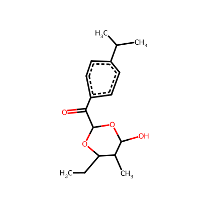 CCC1OC(C(=O)c2ccc(C(C)C)cc2)OC(O)C1C